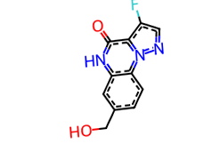 O=c1[nH]c2cc(CO)ccc2n2ncc(F)c12